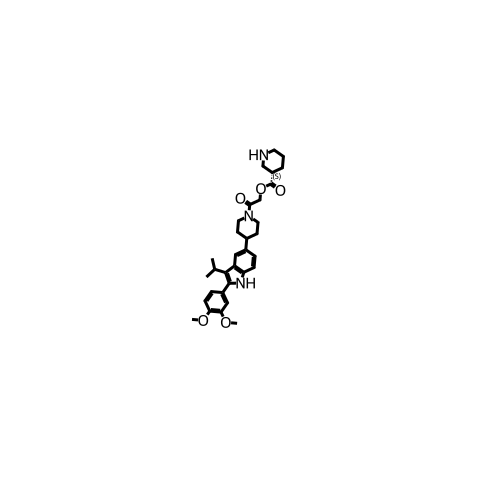 COc1ccc(-c2[nH]c3ccc(C4CCN(C(=O)COC(=O)[C@H]5CCCNC5)CC4)cc3c2C(C)C)cc1OC